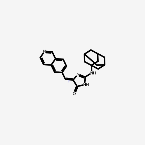 O=C1NC(NC23CC4CC(CC(C4)C2)C3)=N/C1=C\c1ccc2cnccc2c1